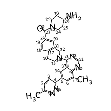 Cc1ccc(-c2cc(C)c3ncnc(N4CCc5ccc(C(=O)N6CCC(N)CC6)cc5C4)c3c2)nn1